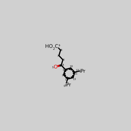 CC(C)c1cc(C(=O)CCCC(=O)O)cc(C(C)C)c1